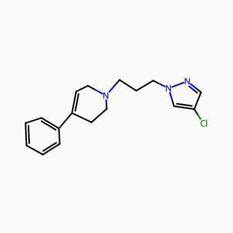 Clc1cnn(CCCN2CC=C(c3ccccc3)CC2)c1